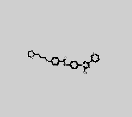 N#Cc1nc(-c2cccnc2)cn1-c1ccc(NC(=O)c2ccc(OCCCC3OCCO3)cc2)cc1